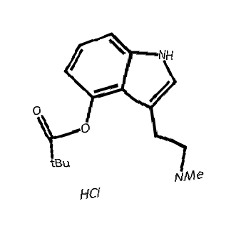 CNCCc1c[nH]c2cccc(OC(=O)C(C)(C)C)c12.Cl